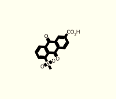 CS(=O)(=O)c1cccc2c1C(=O)c1ccc(C(=O)O)cc1C2=O